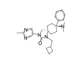 Cc1ncc(N2C[C@]3(CC[C@](c4ccccc4)(N(C)C)CC3)N(CC3CCC3)C2=O)cn1